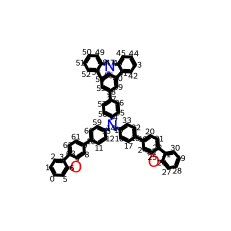 c1ccc2c(c1)oc1cc(-c3ccc(N(c4ccc(-c5ccc6c(c5)oc5ccccc56)cc4)c4ccc(-c5cc6c7ccccc7n7c8ccccc8c(c5)c67)cc4)cc3)ccc12